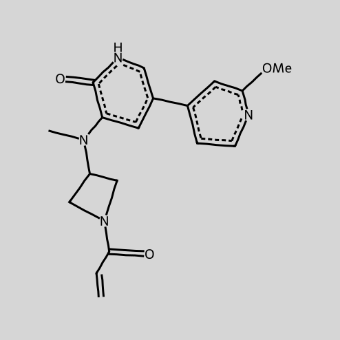 C=CC(=O)N1CC(N(C)c2cc(-c3ccnc(OC)c3)c[nH]c2=O)C1